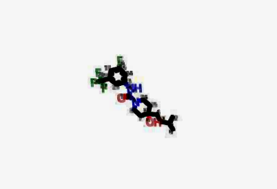 CC(C)CCC1(O)CCN(C(=O)Nc2cc(F)cc(C(F)(F)F)c2)CC1